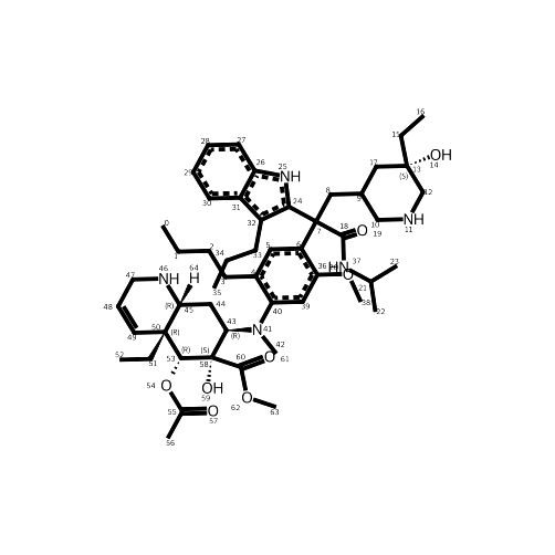 CCCCc1cc(C(CC2CNC[C@](O)(CC)C2)(C(=O)NC(C)C)c2[nH]c3ccccc3c2CCC)c(OC)cc1N(C)[C@@H]1C[C@H]2NCC=C[C@@]2(CC)[C@@H](OC(C)=O)[C@]1(O)C(=O)OC